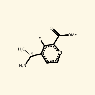 COC(=O)c1nccc([C@@H](C)N)c1F